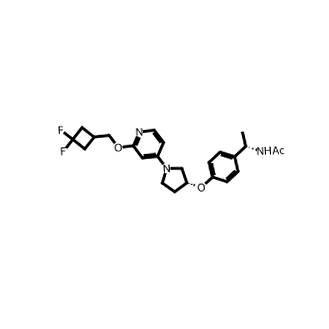 CC(=O)N[C@@H](C)c1ccc(O[C@@H]2CCN(c3ccnc(OCC4CC(F)(F)C4)c3)C2)cc1